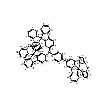 c1ccc(C2(c3ccccc3)c3ccccc3-c3ccc(N(c4ccc(-c5ccc6c(c5)-c5ccccc5C65c6ccccc6Oc6ccccc65)cc4)c4ccc5c(c4)C4(c6ccccc6Oc6ccccc64)c4ccccc4-5)cc32)cc1